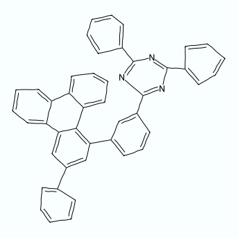 c1ccc(-c2cc(-c3cccc(-c4nc(-c5ccccc5)nc(-c5ccccc5)n4)c3)c3c4ccccc4c4ccccc4c3c2)cc1